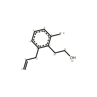 C=CCc1cccc(F)c1CCO